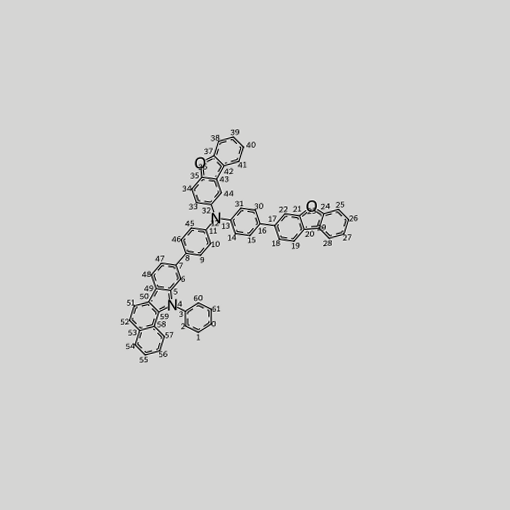 c1ccc(-n2c3cc(-c4ccc(N(c5ccc(-c6ccc7c(c6)oc6ccccc67)cc5)c5ccc6oc7ccccc7c6c5)cc4)ccc3c3ccc4ccccc4c32)cc1